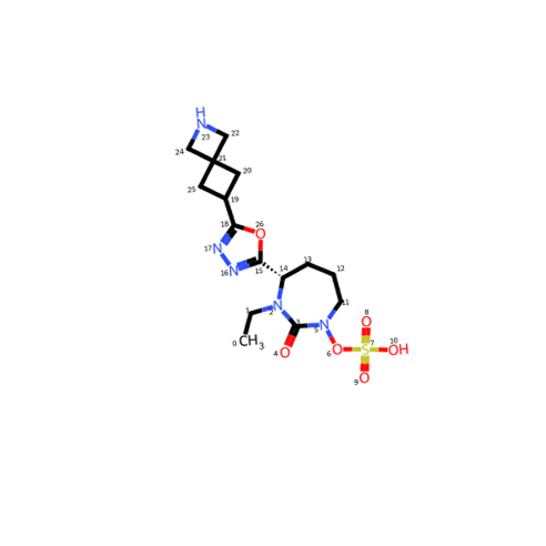 CCN1C(=O)N(OS(=O)(=O)O)CCC[C@H]1c1nnc(C2CC3(CNC3)C2)o1